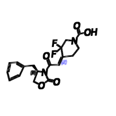 O=C(O)N1CC/C(=C/C(=O)N2C(=O)OC[C@H]2Cc2ccccc2)C(F)(F)C1